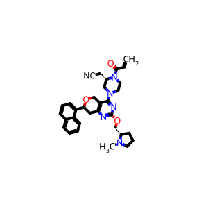 C=CC(=O)N1CCN(c2nc(OC[C@@H]3CCCN3C)nc3c2COC(c2cccc4ccccc24)C3)C[C@@H]1CC#N